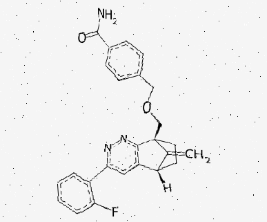 C=C1[C@@H]2CC[C@@]1(COCc1ccc(C(N)=O)cc1)c1nnc(-c3ccccc3F)cc12